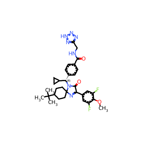 COc1c(F)cc(C2=NC3(CCC(C(C)(C)C)CC3)N([C@@H](c3ccc(C(=O)NCc4nn[nH]n4)cc3)C3CC3)C2=O)cc1F